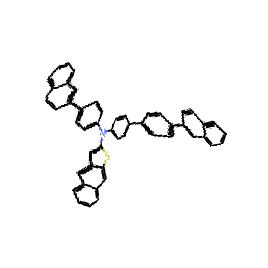 c1ccc2cc(-c3ccc(-c4ccc(N(c5ccc(-c6ccc7ccccc7c6)cc5)c5cc6cc7ccccc7cc6s5)cc4)cc3)ccc2c1